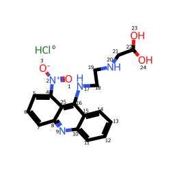 Cl.O=[N+]([O-])c1cccc2nc3ccccc3c(NCCNCC(O)O)c12